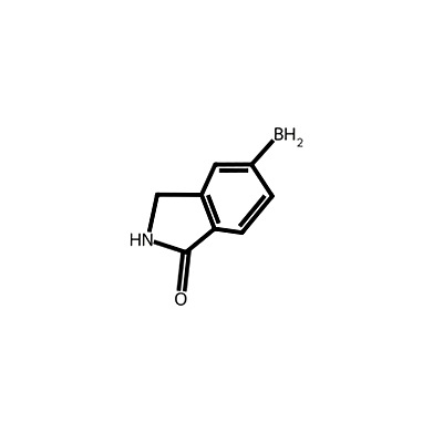 Bc1ccc2c(c1)CNC2=O